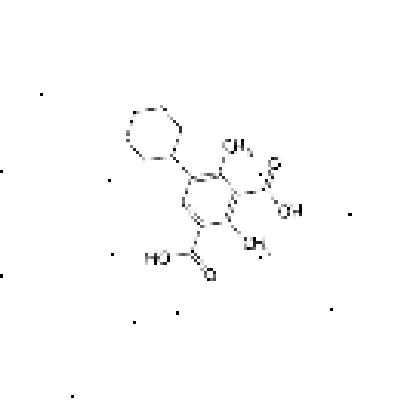 Cc1c(C(=O)O)cc(C2CCCCC2)c(C)c1C(=O)O